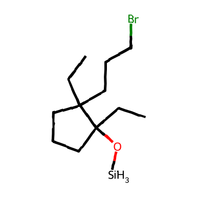 CCC1(CCCBr)CCCC1(CC)O[SiH3]